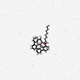 CCCCCCCCCCCC(n1c2ccccc2c2ccnc(C(C)C)c21)n1c2ccccc2c2ccnc(C(C)C)c21